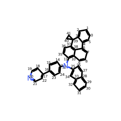 c1ccc2c(c1)-c1cccc3c(N(c4ccc(-c5ccncc5)cc4)c4ccc5ccccc5c4)ccc(c13)C21CC1